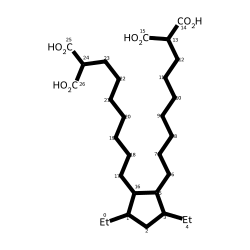 CCC1CC(CC)C(CCCCCCCC(C(=O)O)C(=O)O)C1CCCCCCCC(C(=O)O)C(=O)O